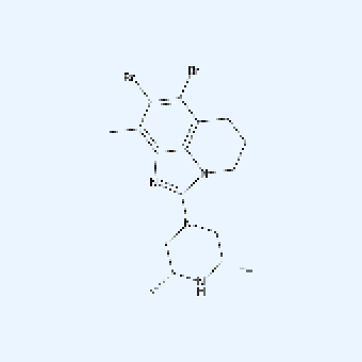 Cc1c(Br)c(Br)c2c3c1nc(N1C[C@@H](C)N[C@@H](C)C1)n3CCC2